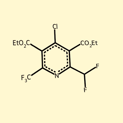 CCOC(=O)c1c(C(F)F)nc(C(F)(F)F)c(C(=O)OCC)c1Cl